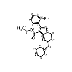 CCOC(=O)c1c(-c2ccccc2F)nn2c1OC(CN1CCOCC1)CC2